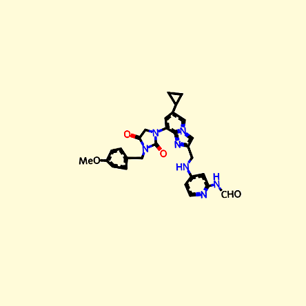 COc1ccc(CN2C(=O)CN(c3cc(C4CC4)cn4cc(CNc5ccnc(NC=O)c5)nc34)C2=O)cc1